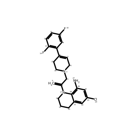 C=C(CN1CC=C(c2cc(F)ccc2F)CC1)N1CCCc2cc(Cl)cc(N)c21